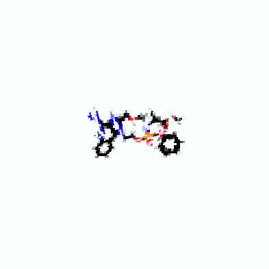 CCOCc1nc2c(N)nc3ccccc3c2n1CCOP(=O)(N[C@@H](C)C(=O)OC(C)C)Oc1ccccc1